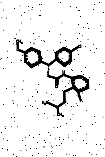 COc1ccc([C@@H](CC(=O)Nc2cccc(F)c2CCC(C)N)c2ccc(Cl)cc2)cn1